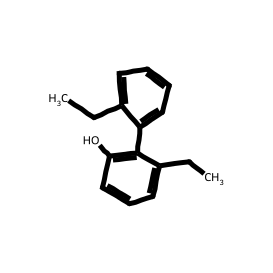 CCc1ccccc1-c1c(O)cccc1CC